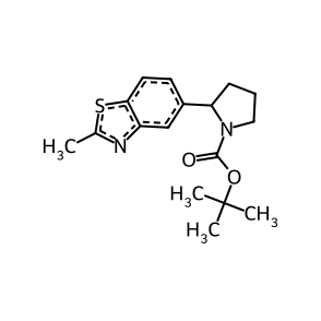 Cc1nc2cc(C3CCCN3C(=O)OC(C)(C)C)ccc2s1